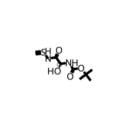 C#SNC(=O)[C@H](O)NC(=O)OC(C)(C)C